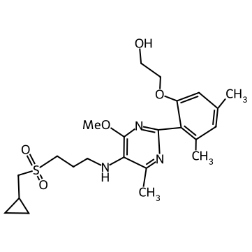 COc1nc(-c2c(C)cc(C)cc2OCCO)nc(C)c1NCCCS(=O)(=O)CC1CC1